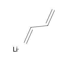 C=CC=C.[Li]